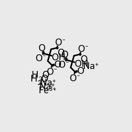 O.O.O=C([O-])CC(O)(CC(=O)[O-])C(=O)[O-].O=C([O-])CC(O)(CC(=O)[O-])C(=O)[O-].[Fe+3].[Na+].[Na+].[Na+]